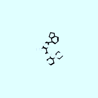 Nc1ncc(-c2cccc3c2CCC3)nc1C(=O)Nc1cnccc1N1CCOCC1